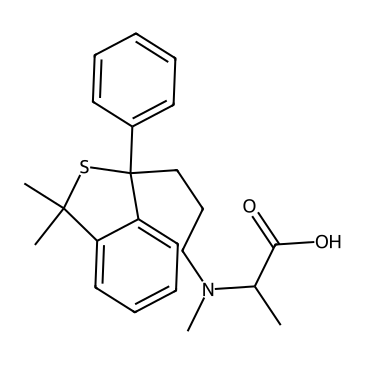 CC(C(=O)O)N(C)CCCC1(c2ccccc2)SC(C)(C)c2ccccc21